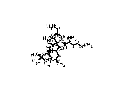 CSCCC(N)C(=O)N([Se]C(=O)CN)C(C(=O)O)(C(=O)C(CC(C)C)NC(=O)OC(C)(C)C)C(C)C